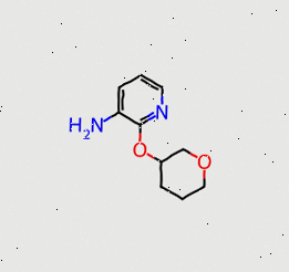 Nc1cccnc1OC1CCCOC1